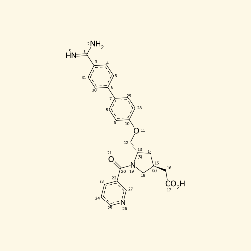 N=C(N)c1ccc(-c2ccc(OC[C@@H]3C[C@@H](CC(=O)O)CN3C(=O)c3cccnc3)cc2)cc1